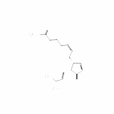 CCCCC[C@H](O)/C=C/[C@H]1C(=O)C=C[C@@H]1C/C=C\CCCC(=O)OC